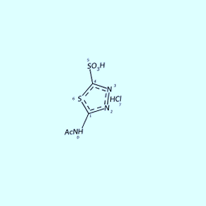 CC(=O)Nc1nnc(S(=O)(=O)O)s1.Cl